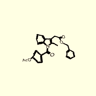 CC(=O)Oc1ccc(C(=O)n2c(C)c(CC(=O)OCc3ccccc3)c3ccccc32)cc1